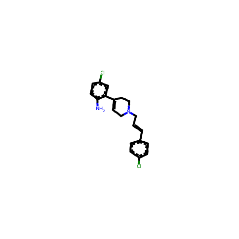 Nc1ccc(Cl)cc1C1=CCN(CC=Cc2ccc(Cl)cc2)CC1